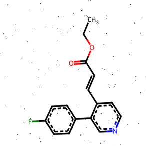 CCOC(=O)C=Cc1ccncc1-c1ccc(F)cc1